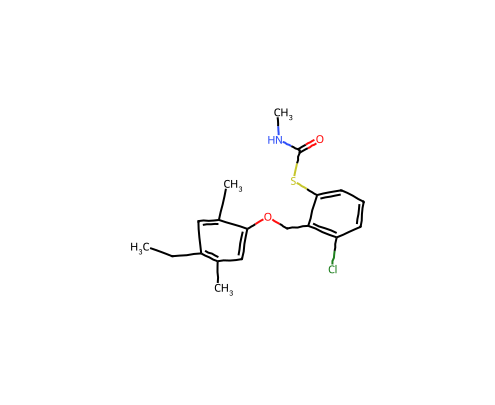 CCc1cc(C)c(OCc2c(Cl)cccc2SC(=O)NC)cc1C